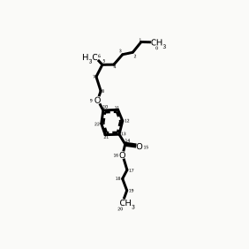 CCCCCC(C)CCOc1ccc(C(=O)OCCCC)cc1